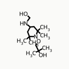 CC(C)(O)CON1C(C)(C)CC(NCO)CC1(C)C